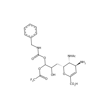 CC(=O)N[C@@H]1[C@@H](N)C=C(C(=O)O)O[C@@H]1CC(O)C(OC(=O)NCc1ccccc1)OC(=O)C(F)(F)F